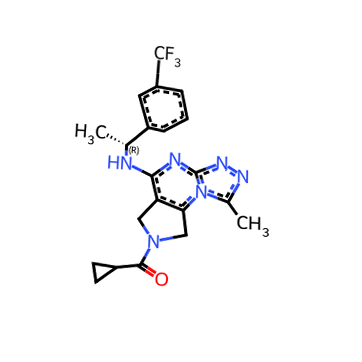 Cc1nnc2nc(N[C@H](C)c3cccc(C(F)(F)F)c3)c3c(n12)CN(C(=O)C1CC1)C3